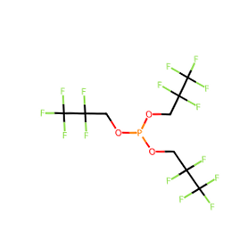 FC(F)(F)C(F)(F)COP(OCC(F)(F)C(F)(F)F)OCC(F)(F)C(F)(F)F